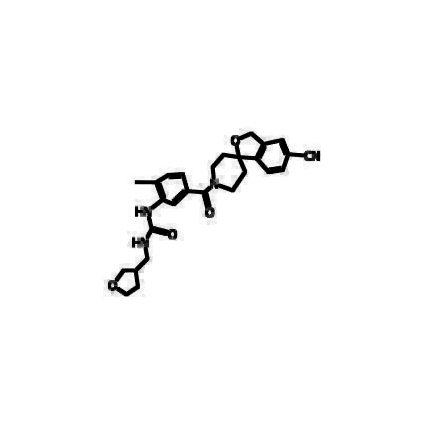 Cc1ccc(C(=O)N2CCC3(CC2)OCc2cc(C#N)ccc23)cc1NC(=O)NCC1CCOC1